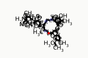 CCC(C)[C@H]1O[C@]2(C=C[C@@H]1C)C[C@@H]1C[C@@H](C/C=C(\C)[C@@H](OC3C[C@H](OC)[C@@H](O[C@H]4C[C@H](OC)[C@@](N)(C#N)[C@H](C)O4)[C@H](C)O3)[C@@H](C)/C=C/C=C3\COC4[C@H](O)C(C)=C[C@@H](C(=O)O1)[C@]34O)O2